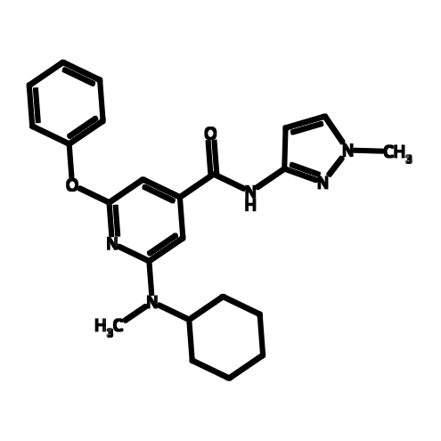 CN(c1cc(C(=O)Nc2ccn(C)n2)cc(Oc2ccccc2)n1)C1CCCCC1